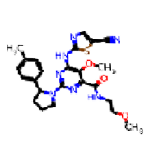 COCCNC(=O)c1nc(N2CCCC2c2ccc(C)cc2)nc(Nc2ncc(C#N)s2)c1OC